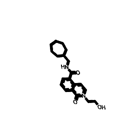 O=C(NCC1CCCCCC1)c1cccc2c(=O)n(CCO)ccc12